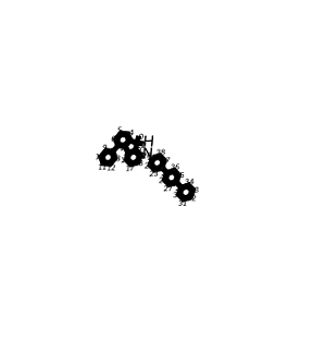 CC1(C)c2cccc(-c3ccccc3)c2-c2cccc(Nc3ccc(-c4ccc(-c5ccccc5)cc4)cc3)c21